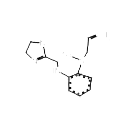 C=CC[S+]([O-])c1ccccc1NCC1=NCCN1